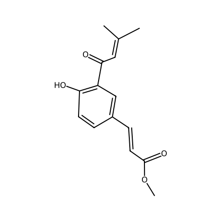 COC(=O)/C=C/c1ccc(O)c(C(=O)C=C(C)C)c1